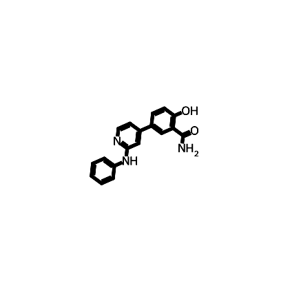 NC(=O)c1cc(-c2ccnc(Nc3ccccc3)c2)ccc1O